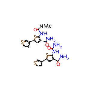 CNC(=O)Nc1sc(-c2ccsc2)cc1C(N)=O.NC(=O)Nc1sc(-c2ccsc2)cc1C(N)=O